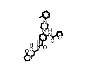 Cc1ccccc1N1CCN(c2ccc(C(=O)NCC(O)CN3CCCC3=O)cc2NC(=O)c2ccco2)CC1